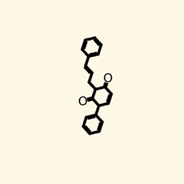 O=C1C=CC(c2ccccc2)C(=O)C1CC=Cc1ccccc1